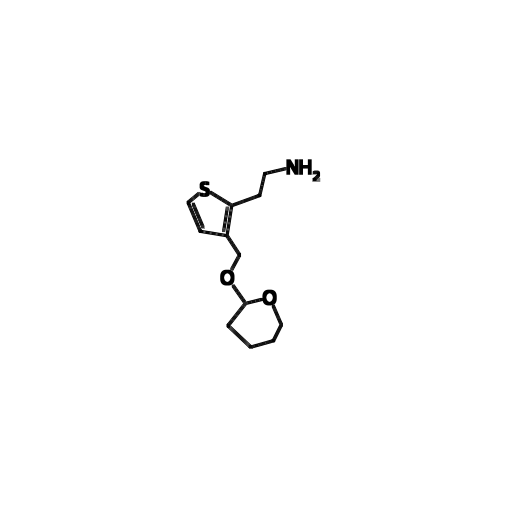 NCCc1sccc1COC1CCCCO1